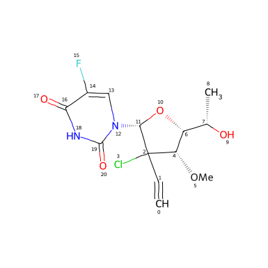 C#CC1(Cl)[C@@H](OC)[C@@H]([C@H](C)O)O[C@H]1n1cc(F)c(=O)[nH]c1=O